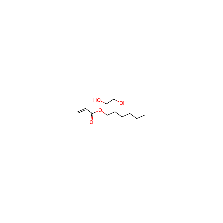 C=CC(=O)OCCCCCC.OCCO